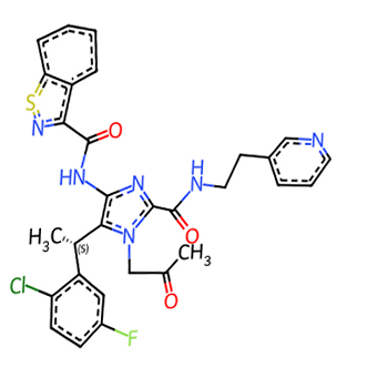 CC(=O)Cn1c(C(=O)NCCc2cccnc2)nc(NC(=O)c2nsc3ccccc23)c1[C@@H](C)c1cc(F)ccc1Cl